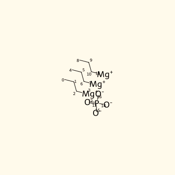 CC[CH2][Mg+].CC[CH2][Mg+].CC[CH2][Mg+].O=P([O-])([O-])[O-]